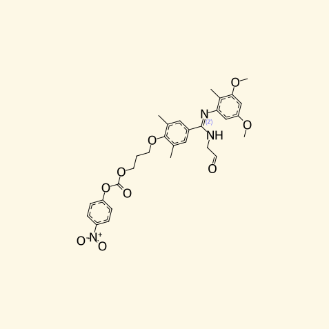 COc1cc(/N=C(\NCC=O)c2cc(C)c(OCCCOC(=O)Oc3ccc([N+](=O)[O-])cc3)c(C)c2)c(C)c(OC)c1